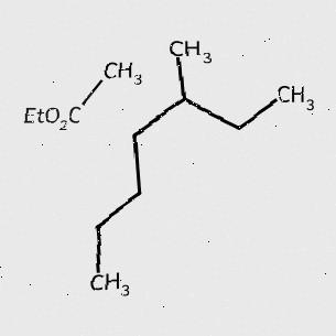 CCCCC(C)CC.CCOC(C)=O